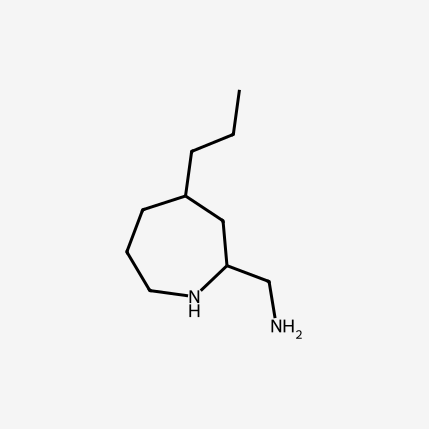 CCCC1CCCNC(CN)C1